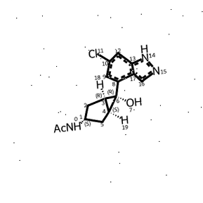 CC(=O)N[C@@H]1C[C@@H]2[C@H](C1)[C@]2(O)c1cc(Cl)cc2[nH]ncc12